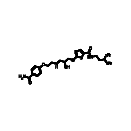 CCCC(CCC)CCNC(=O)c1cnc(OCC(O)CNCCOc2ccc(C(N)=O)cc2)s1